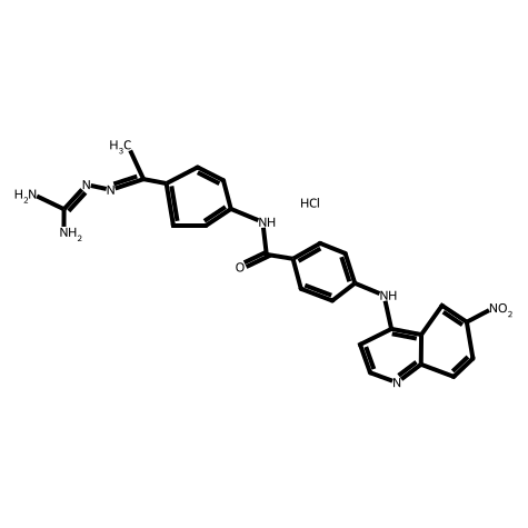 CC(=NN=C(N)N)c1ccc(NC(=O)c2ccc(Nc3ccnc4ccc([N+](=O)[O-])cc34)cc2)cc1.Cl